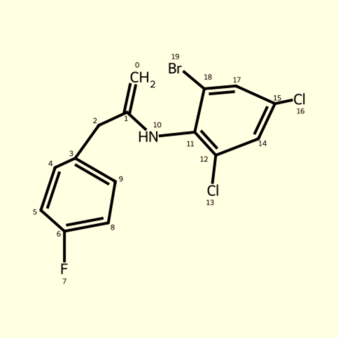 C=C(Cc1ccc(F)cc1)Nc1c(Cl)cc(Cl)cc1Br